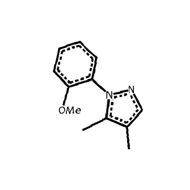 COc1ccccc1-n1ncc(C)c1C